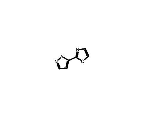 [c]1cnc(-c2ccns2)o1